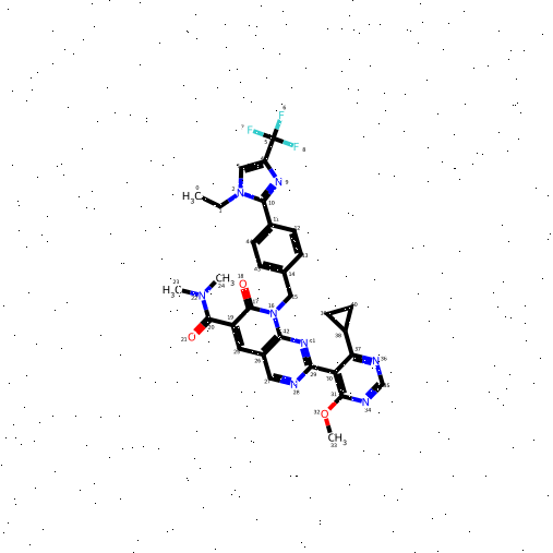 CCn1cc(C(F)(F)F)nc1-c1ccc(Cn2c(=O)c(C(=O)N(C)C)cc3cnc(-c4c(OC)ncnc4C4CC4)nc32)cc1